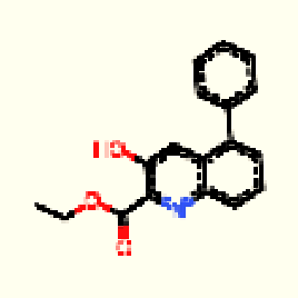 CCOC(=O)c1nc2cccc(-c3ccccc3)c2cc1O